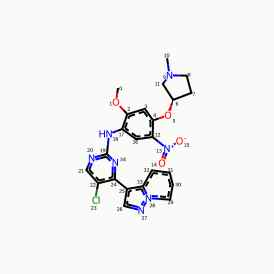 COc1cc(O[C@@H]2CCN(C)C2)c([N+](=O)[O-])cc1Nc1ncc(Cl)c(-c2cnn3ccccc23)n1